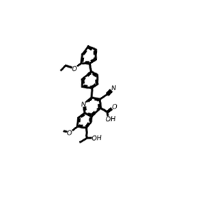 CCOc1ccccc1-c1ccc(-c2nc3cc(OC)c(C(C)O)cc3c(C(=O)O)c2C#N)cc1